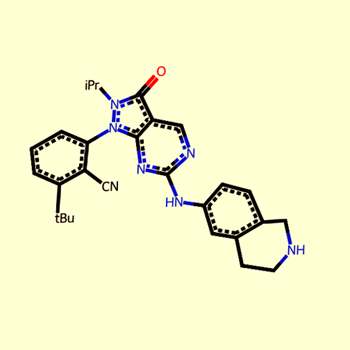 CC(C)n1c(=O)c2cnc(Nc3ccc4c(c3)CCNC4)nc2n1-c1cccc(C(C)(C)C)c1C#N